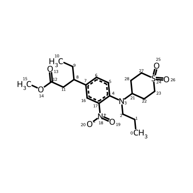 CCCN(c1ccc(C(CC)CC(=O)OC)cc1[N+](=O)[O-])C1CCS(=O)(=O)CC1